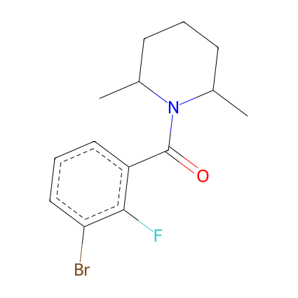 CC1CCCC(C)N1C(=O)c1cccc(Br)c1F